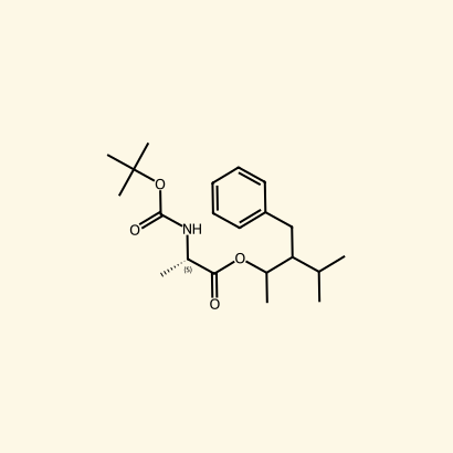 CC(C)C(Cc1ccccc1)C(C)OC(=O)[C@H](C)NC(=O)OC(C)(C)C